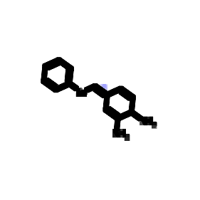 NC1=C/C(=C\[Se]c2ccccc2)C=CC1N